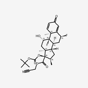 C[C@@H]1C[C@H]2[C@@H]3C[C@H](F)C4=CC(=O)C=C[C@]4(C)[C@@]3(F)[C@@H](O)C[C@]2(C)[C@@]1(OC(=O)OC(C)(C)C)C(=O)OCC#N